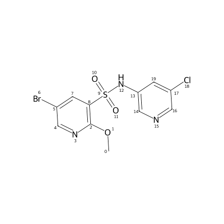 COc1ncc(Br)cc1S(=O)(=O)Nc1cncc(Cl)c1